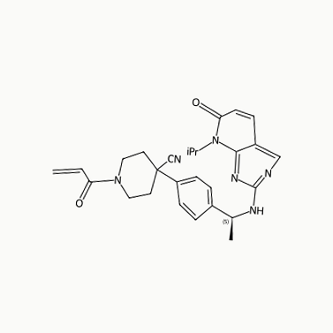 C=CC(=O)N1CCC(C#N)(c2ccc([C@H](C)Nc3ncc4ccc(=O)n(C(C)C)c4n3)cc2)CC1